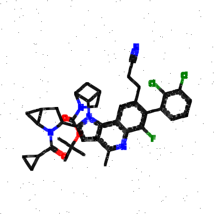 Cc1nc2c(F)c(-c3cccc(Cl)c3Cl)c(CCC#N)cc2c2c1cc(C1CC3CC3N1C(=O)C1CC1)n2C1C2CC1N(C(=O)OC(C)(C)C)C2